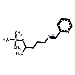 CC(CCC/N=C/c1ccccn1)S[Si](C)(C)C